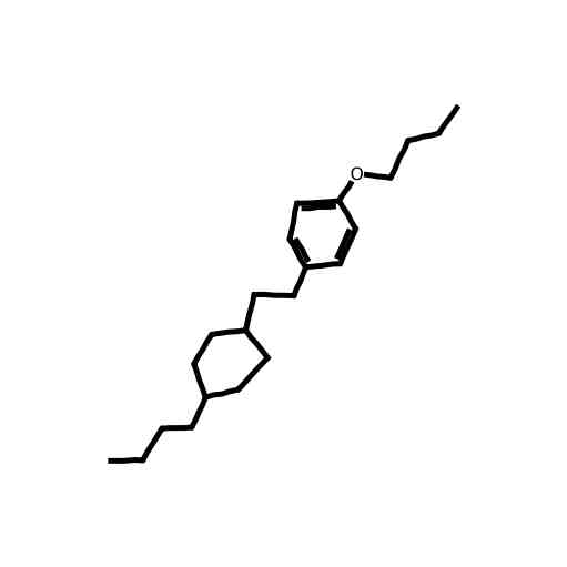 CCCCOc1ccc(CCC2CCC(CCCC)CC2)cc1